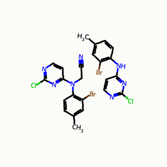 Cc1ccc(N(CC#N)c2ccnc(Cl)n2)c(Br)c1.Cc1ccc(Nc2ccnc(Cl)n2)c(Br)c1